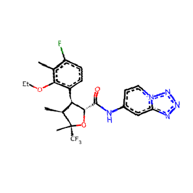 CCOc1c([C@H]2[C@H](C(=O)Nc3ccn4nnnc4c3)O[C@@](C)(C(F)(F)F)[C@H]2C)ccc(F)c1C